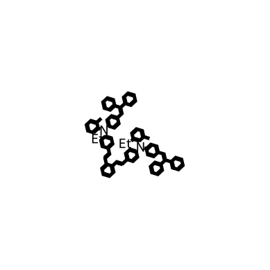 CCc1cccc(C)c1N(c1ccc(C=Cc2ccccc2C=Cc2ccc(N(c3ccc(C=C(c4ccccc4)c4ccccc4)cc3)c3c(C)cccc3CC)cc2)cc1)c1ccc(C=C(c2ccccc2)c2ccccc2)cc1